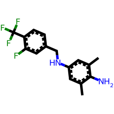 Cc1cc(NCc2ccc(C(F)(F)F)c(F)c2)cc(C)c1N